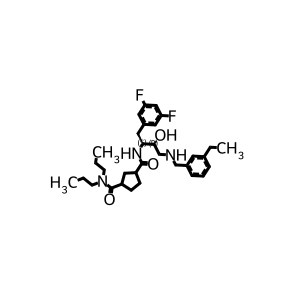 CCCN(CCC)C(=O)C1CCC(C(=O)N[C@@H](Cc2cc(F)cc(F)c2)[C@H](O)CNCc2cccc(CC)c2)C1